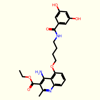 CCOC(=O)c1c(C)nc2cccc(OCCCCNC(=O)c3cc(O)cc(O)c3)c2c1N